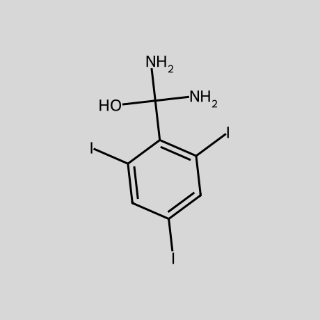 NC(N)(O)c1c(I)cc(I)cc1I